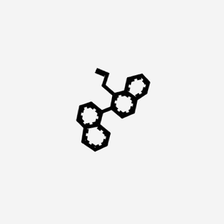 C=CCc1c(-c2cccc3ccccc23)ccc2ccccc12